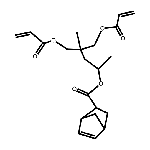 C=CC(=O)OCC(C)(COC(=O)C=C)CC(C)OC(=O)C1CC2C=CC1C2